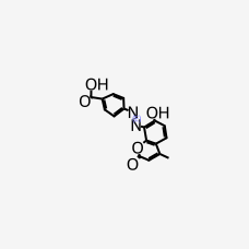 Cc1cc(=O)oc2c(/N=N/c3ccc(C(=O)O)cc3)c(O)ccc12